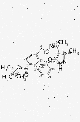 CC(=NOCc1ccc(C(=O)OC(C)(C)C)cc1)c1c(C)n[nH]c1Oc1ccccc1